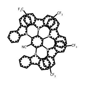 N#Cc1c(-n2c3ccccc3c3ccccc32)c(-n2c3ccc(C(F)(F)F)cc3c3cc(C(F)(F)F)ccc32)c(-n2c3ccccc3c3ccccc32)c(-n2c3ccc(C(F)(F)F)cc3c3cc(C(F)(F)F)ccc32)c1-n1c2ccccc2c2ccccc21